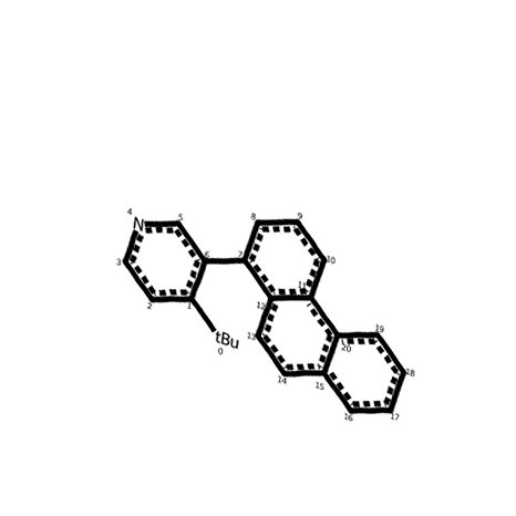 CC(C)(C)c1ccncc1-c1cccc2c1ccc1ccccc12